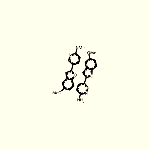 CNc1ccc(-c2cc3cc(OC)ccc3o2)cn1.COc1ccc2oc(-c3ccc(N)nn3)cc2c1